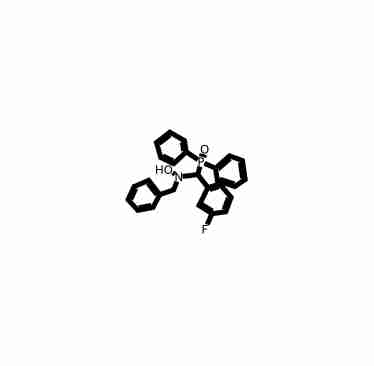 O=P(c1ccccc1)(c1ccccc1)C(c1cccc(F)c1)N(O)Cc1ccccc1